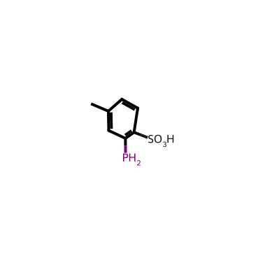 Cc1ccc(S(=O)(=O)O)c(P)c1